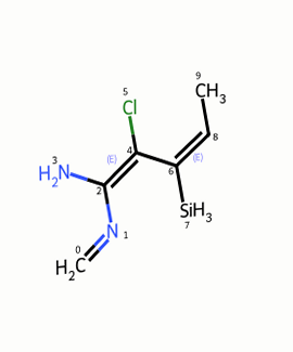 C=N/C(N)=C(Cl)\C([SiH3])=C/C